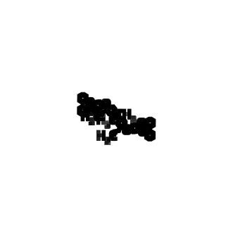 C=CCc1cc(C(C)(C)c2ccc(Oc3ccc(P4(=O)Oc5ccccc5-c5ccccc54)cc3)c(CC=C)c2)ccc1Oc1ccc(P2(=O)Oc3ccccc3-c3ccccc32)cc1